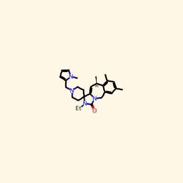 CCN1C(=O)N2Cc3cc(C)cc(C)c3[C@H](C)C=C2C12CCN(Cc1cccn1C)CC2